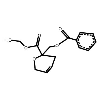 CCOC(=O)C1(COC(=O)c2ccccc2)CC=CCO1